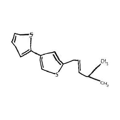 CC(C)/C=C/c1cc(-c2cccs2)cs1